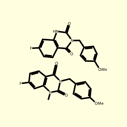 COc1ccc(Cn2c(=O)[nH]c3cc(F)ccc3c2=O)cc1.COc1ccc(Cn2c(=O)c3ccc(F)cc3n(C)c2=O)cc1